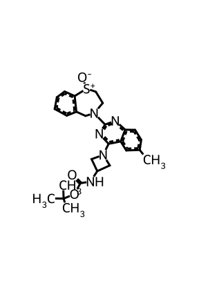 Cc1ccc2nc(N3CC[S+]([O-])c4ccccc4C3)nc(N3CC(NC(=O)OC(C)(C)C)C3)c2c1